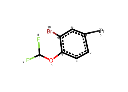 [CH2]C(C)c1ccc(OC(F)F)c(Br)c1